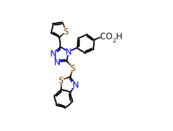 O=C(O)c1ccc(-n2c(Sc3nc4ccccc4s3)nnc2-c2cccs2)cc1